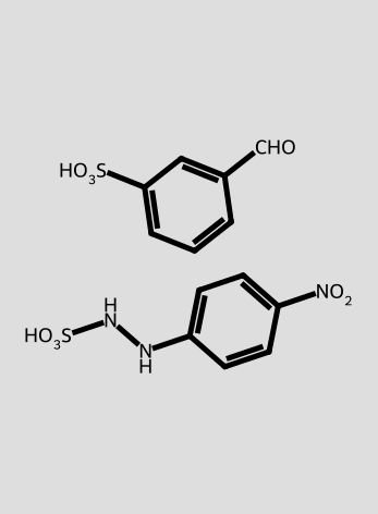 O=Cc1cccc(S(=O)(=O)O)c1.O=[N+]([O-])c1ccc(NNS(=O)(=O)O)cc1